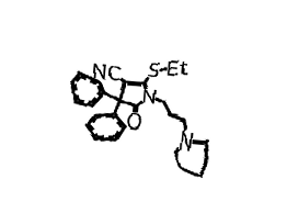 CCSC1=C(C#N)C(c2ccccc2)(c2ccccc2)C(=O)N1CCCN1CCCCC1